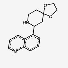 c1cc(C2CC3(CCN2)OCCO3)c2cccnc2c1